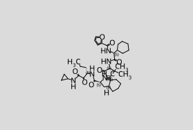 CCC[C@H](NC(=O)[C@@H]1C[C@@H]2CCCC[C@@H]2N1C(=O)[C@@H](NC(=O)[C@@H](NC(=O)c1ccco1)C1CCCCC1)C(C)(C)C)C(=O)C(=O)NC1CC1